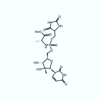 COC(=O)[C@@H](C)N[P@@](=O)(OC[C@H]1O[C@@H](n2ccc(=O)[nH]c2=O)[C@](C)(O)[C@@H]1O)SCC1NC(=O)NC1=O